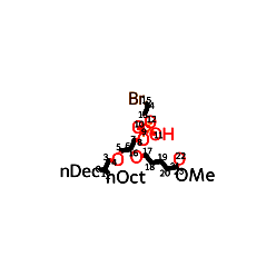 CCCCCCCCCCC(CCCCCCCC)COCC(COP(=O)(O)OCCBr)OCCCCC(=O)OC